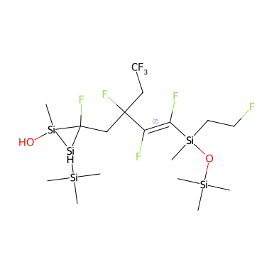 C[Si](C)(C)O[Si](C)(CCF)/C(F)=C(\F)C(F)(CC(F)(F)F)CC1(F)[SiH]([Si](C)(C)C)[Si]1(C)O